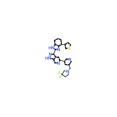 FC1(F)CCN(Cc2cncc(-c3cc4c(-c5nc6c(-c7ccsc7)cccc6[nH]5)n[nH]c4cn3)c2)C1